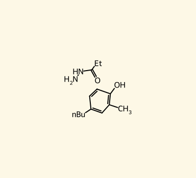 CCC(=O)NN.CCCCc1ccc(O)c(C)c1